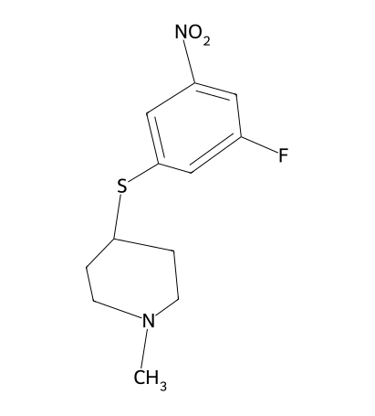 CN1CCC(Sc2cc(F)cc([N+](=O)[O-])c2)CC1